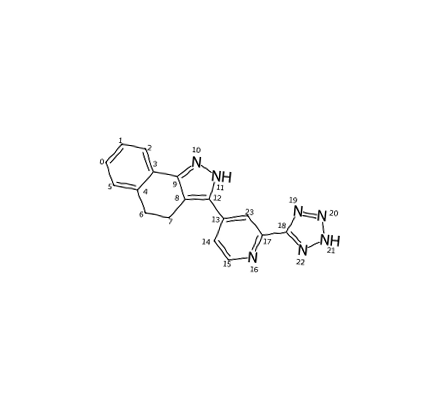 c1ccc2c(c1)CCc1c-2n[nH]c1-c1ccnc(-c2nn[nH]n2)c1